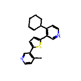 Cc1ccncc1-c1ccc(-c2cnccc2C2CCCCC2)s1